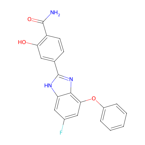 NC(=O)c1ccc(-c2nc3c(Oc4ccccc4)cc(F)cc3[nH]2)cc1O